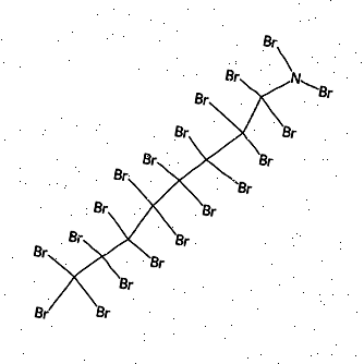 BrN(Br)C(Br)(Br)C(Br)(Br)C(Br)(Br)C(Br)(Br)C(Br)(Br)C(Br)(Br)C(Br)(Br)C(Br)(Br)Br